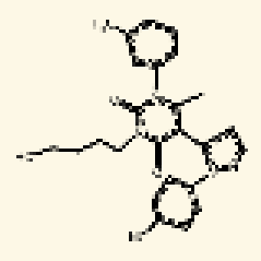 Cc1c(-c2ccnn2-c2ccc(C#N)cc2)c(=O)n(CCCCO)c(=O)n1-c1cccc(C(F)(F)F)c1